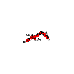 COCOC1(c2ccc(-c3ccc(-c4ccc(C5(C)CCC(C)(c6ccc(-c7ccc(-c8ccc(Br)cn8)nc7)cc6)CC5)cc4)cc3)cc2)CCC(OCOC)(c2ccc(-c3ccc(-c4ccc(Br)cn4)nc3)cc2)CC1